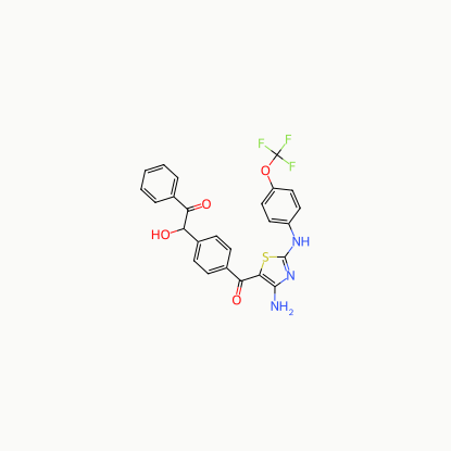 Nc1nc(Nc2ccc(OC(F)(F)F)cc2)sc1C(=O)c1ccc(C(O)C(=O)c2ccccc2)cc1